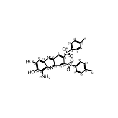 Cc1ccc(S(=O)(=O)c2cc3nc4cc(O)c(O)c(N)c4nc3cc2S(=O)(=O)c2ccc(C)cc2)cc1